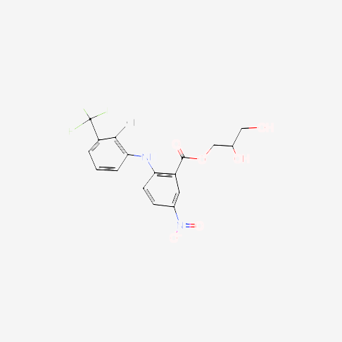 Cc1c(Nc2ccc([N+](=O)[O-])cc2C(=O)OCC(O)CO)cccc1C(F)(F)F